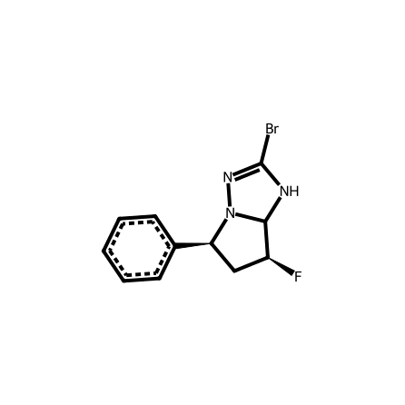 F[C@H]1C[C@@H](c2ccccc2)N2N=C(Br)NC12